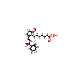 O=C(O)CCCCCCC1C(=O)CCC1C=CC(=O)c1ccccc1Cl